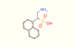 NCC(c1cccc2ccccc12)S(=O)(=O)O